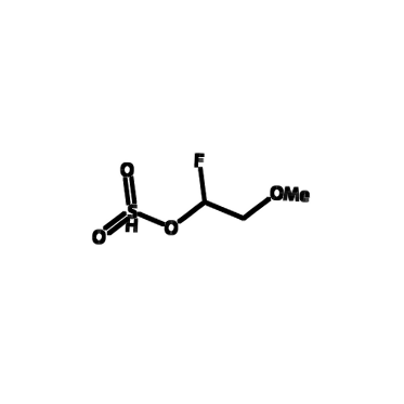 COCC(F)O[SH](=O)=O